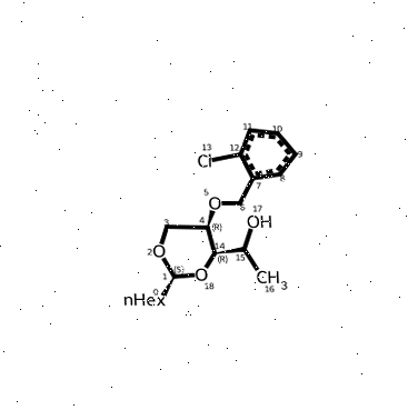 CCCCCC[C@H]1OC[C@@H](OCc2ccccc2Cl)[C@@H](C(C)O)O1